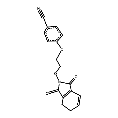 N#Cc1ccc(OCCON2C(=O)C3=C(CCC=C3)C2=O)cc1